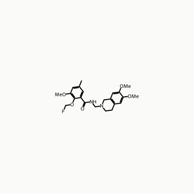 COc1cc2c(cc1OC)CN(CNC(=O)c1cc(C)cc(OC)c1OCF)CC2